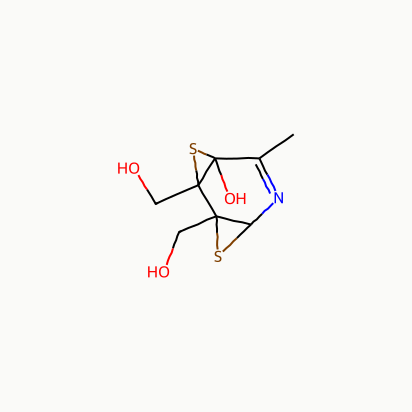 CC1=NC2SC2(CO)C2(CO)SC12O